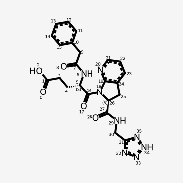 O=C(O)CC[C@H](NC(=O)Cc1ccccc1)C(=O)N1c2ncccc2C[C@H]1C(=O)NCc1nn[nH]n1